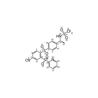 [C-]#[N+]c1ccc(S(=O)(=O)c2ccc([C@H](C)NS(=O)(=O)C(F)(F)F)cc2)c(S(=O)(=O)c2ccccn2)c1